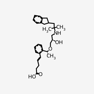 C[C@@H](OC[C@H](O)CNC(C)(C)CC1Cc2ccccc2C1)c1ccccc1/C=C/CCC(=O)O